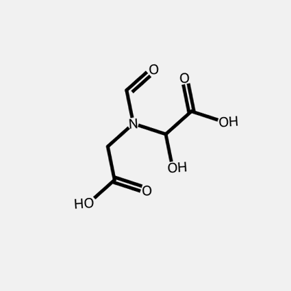 O=CN(CC(=O)O)C(O)C(=O)O